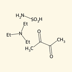 CC(=O)C(C)=O.CCN(CC)CC.NS(=O)(=O)O